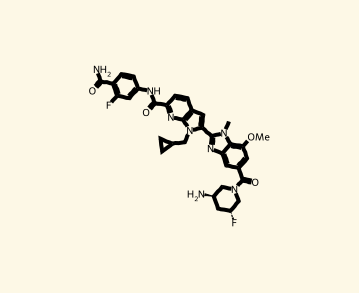 COc1cc(C(=O)N2C[C@H](N)C[C@@H](F)C2)cc2nc(-c3cc4ccc(C(=O)Nc5ccc(C(N)=O)c(F)c5)nc4n3CC3CC3)n(C)c12